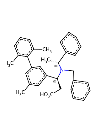 Cc1cc(-c2c(C)cccc2C)cc([C@H](CC(=O)O)N(Cc2ccccc2)[C@H](C)c2ccccc2)c1